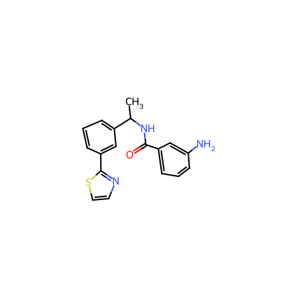 CC(NC(=O)c1cccc(N)c1)c1cccc(-c2nccs2)c1